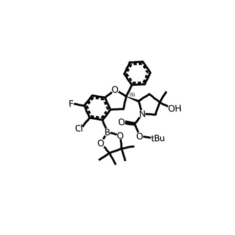 CC1(O)CC([C@@]2(c3ccccc3)Cc3c(cc(F)c(Cl)c3B3OC(C)(C)C(C)(C)O3)O2)N(C(=O)OC(C)(C)C)C1